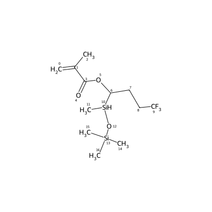 C=C(C)C(=O)OC(CCC(F)(F)F)[SiH](C)O[Si](C)(C)C